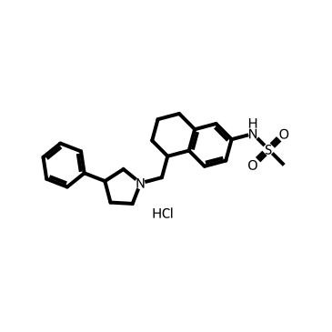 CS(=O)(=O)Nc1ccc2c(c1)CCCC2CN1CCC(c2ccccc2)C1.Cl